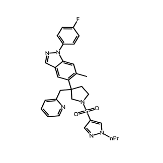 CCCn1cc(S(=O)(=O)N2CCC(Cc3ccccn3)(c3cc4cnn(-c5ccc(F)cc5)c4cc3C)C2)cn1